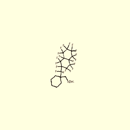 CCCCCCCCCCCC1(C(F)(F)C2(F)C(F)(F)C(F)(F)C3(F)C(F)(F)C(F)(F)C(F)(F)C(F)(F)C3(F)C2(F)F)CCCCC1